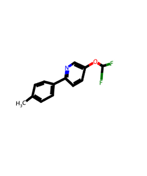 Cc1ccc(-c2ccc(OC(F)F)cn2)cc1